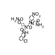 NC(=O)O[C@H]1C[C@H](N(CC(=O)NCc2cccc(Cl)c2F)C(=O)Cn2nc(C(N)=O)c3cc([N+](=O)[O-])ccc32)C1